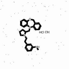 CNc1cccc(CCN2CCCC2CN2c3ccccc3COc3ccccc32)c1.Cl.Cl